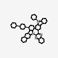 c1ccc(-c2ccc(-c3cccc4c3c3cc5ccccc5cc3n4-c3nc4ccccc4nc3-c3ccc4c(c3)c3ccccc3n4-c3ccccc3)cc2)cc1